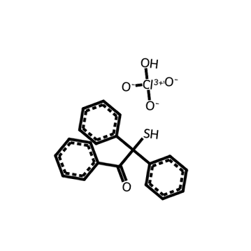 O=C(c1ccccc1)C(S)(c1ccccc1)c1ccccc1.[O-][Cl+3]([O-])([O-])O